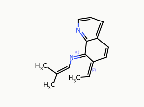 C/C=C1/C=Cc2cccnc2/C1=N/C=C(C)C